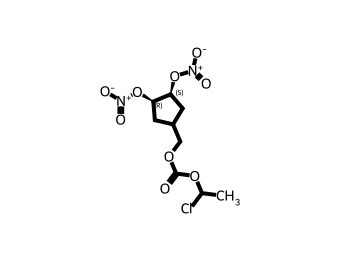 CC(Cl)OC(=O)OCC1C[C@H](O[N+](=O)[O-])[C@H](O[N+](=O)[O-])C1